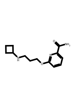 NC(=O)c1cccc(OCCCNC2CCC2)n1